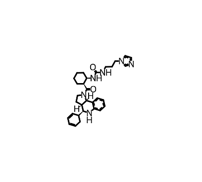 O=C(NCCCn1ccnc1)N[C@@H]1CCCC[C@@H]1C(=O)N1CC[C@@H]2[C@H](C3C=CC=CC3)Nc3ccccc3[C@@H]21